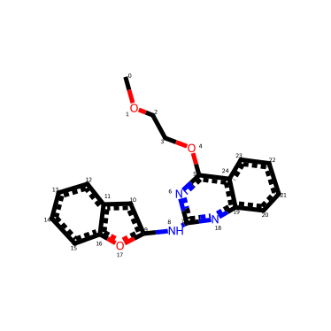 COCCOc1nc(Nc2cc3ccccc3o2)nc2ccccc12